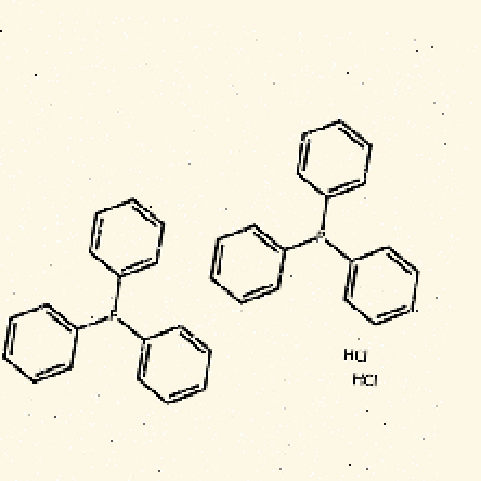 Cl.Cl.c1ccc(P(c2ccccc2)c2ccccc2)cc1.c1ccc(P(c2ccccc2)c2ccccc2)cc1